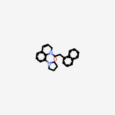 O=C(Cc1cccc2ccccc12)N1CC=Cc2cccc(N3CCCC3)c21